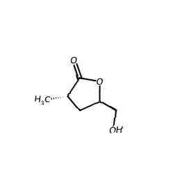 C[C@H]1CC(CO)OC1=O